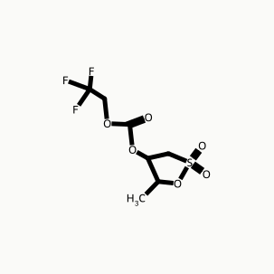 CC1OS(=O)(=O)CC1OC(=O)OCC(F)(F)F